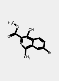 COC(=O)c1nc(C)c2cc(Br)ccc2c1O